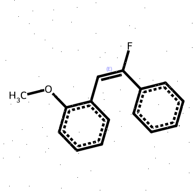 COc1ccccc1/C=C(/F)c1cc[c]cc1